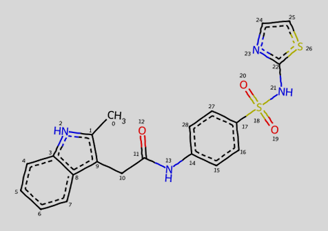 Cc1[nH]c2ccccc2c1CC(=O)Nc1ccc(S(=O)(=O)Nc2nccs2)cc1